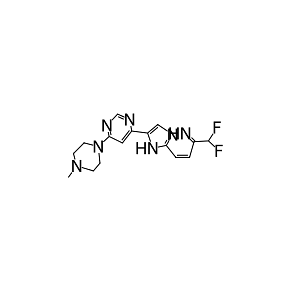 CN1CCN(c2cc(-c3cnc(/C=C\C(=N)C(F)F)[nH]3)ncn2)CC1